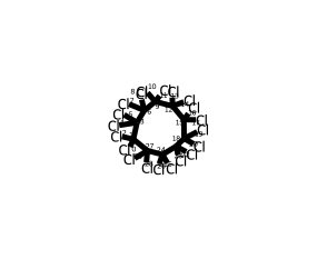 ClC1(Cl)C(Cl)(Cl)C(Cl)(Cl)C(Cl)(Cl)C(Cl)(Cl)C(Cl)(Cl)C(Cl)(Cl)C(Cl)(Cl)C(Cl)(Cl)C1(Cl)Cl